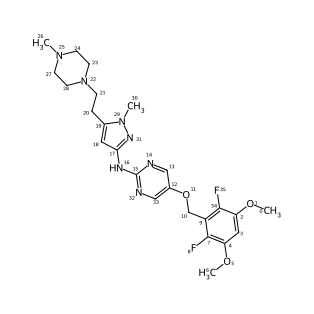 COc1cc(OC)c(F)c(COc2cnc(Nc3cc(CCN4CCN(C)CC4)n(C)n3)nc2)c1F